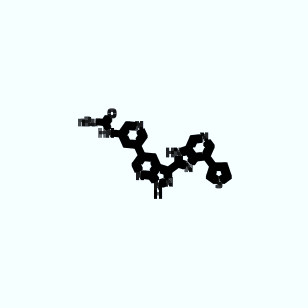 CCCCC(=O)Nc1cncc(-c2cnc3[nH]nc(-c4nc5c(-c6ccsc6)cncc5[nH]4)c3c2)c1